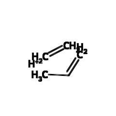 C=C.C=CC.[H+]